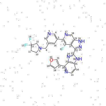 Fc1c(-c2cncc(CN3CCC(F)(F)C3)c2)ncc2[nH]nc(-c3nc4c(-c5ccoc5)nccc4[nH]3)c12